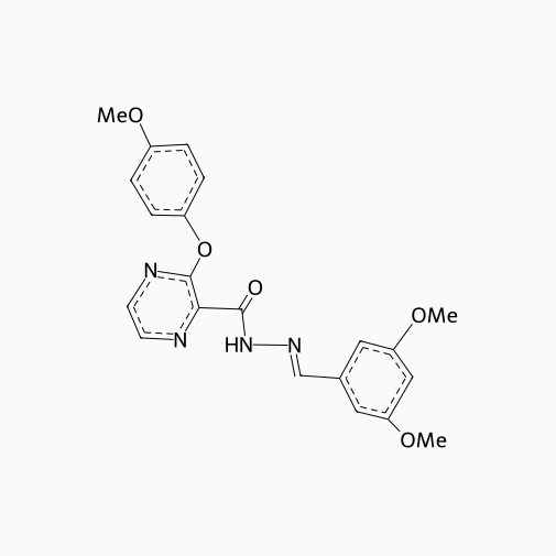 COc1ccc(Oc2nccnc2C(=O)NN=Cc2cc(OC)cc(OC)c2)cc1